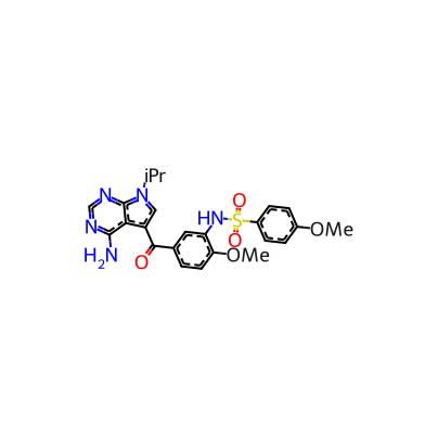 COc1ccc(S(=O)(=O)Nc2cc(C(=O)c3cn(C(C)C)c4ncnc(N)c34)ccc2OC)cc1